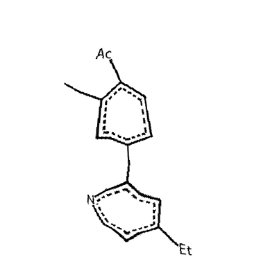 CCc1ccnc(-c2ccc(C(C)=O)c(C)c2)c1